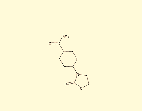 COC(=O)C1CCC(N2CCOC2=O)CC1